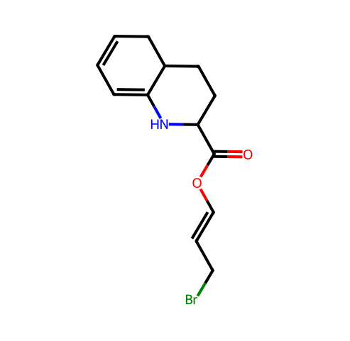 O=C(OC=CCBr)C1CCC2CC=CC=C2N1